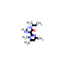 CC[C@@H](C)NC(=O)/C(NC)=C1\N=C(C)C=C(C)N1C